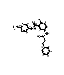 Cc1ccc(NC(=O)CCc2ccccc2)cc1C(=O)Nc1cnc(N)nc1